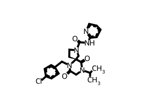 CC(C)N1CC(=O)N(Cc2ccc(Cl)cc2)[C@@]2(CCN(C(=O)Nc3ccccn3)C2)C1=O